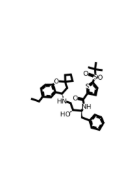 CCc1ccc2c(c1)[C@@H](NC[C@@H](O)[C@H](Cc1ccccc1)NC(=O)c1ccc(S(=O)(=O)C(C)(C)C)s1)CC1(CCC1)O2